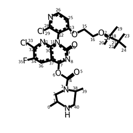 CC1CN(C(=O)Oc2nc(=O)n(-c3c(OCCO[Si](C)(C)C(C)(C)C)ccnc3Cl)c3nc(Cl)c(F)cc23)C(C)CN1